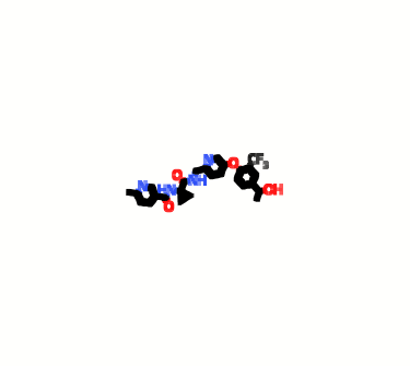 Cc1ccc(C(=O)NC2(C(=O)NCc3ccc(Oc4ccc(C(C)O)cc4C(F)(F)F)cn3)CC2)cn1